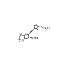 CCCCCCc1cc2c(cc1C#Cc1ccc(CC(=O)OCC)s1)C(C)(C)CC(C)(C)O2